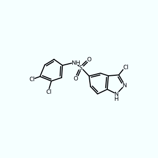 O=S(=O)(Nc1ccc(Cl)c(Cl)c1)c1ccc2[nH]nc(Cl)c2c1